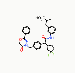 CC(Cc1cccc(NC(=O)C(c2ccc(CN3N=C(c4ccccc4)OCC3=O)cc2)C2CCC(F)(F)C2)c1)C(=O)O